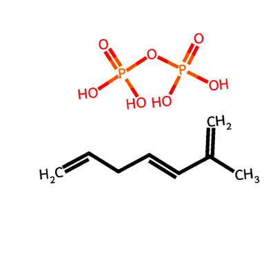 C=CCC=CC(=C)C.O=P(O)(O)OP(=O)(O)O